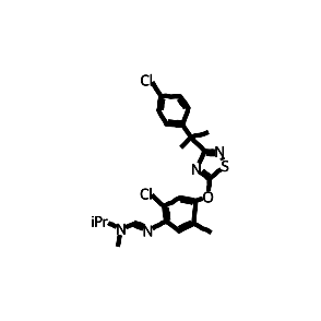 Cc1cc(N=CN(C)C(C)C)c(Cl)cc1Oc1nc(C(C)(C)c2ccc(Cl)cc2)ns1